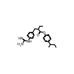 CCC(Cc1ccc(NC(=N)N)cc1)C(=O)Oc1ccc(C(C)CC)cc1